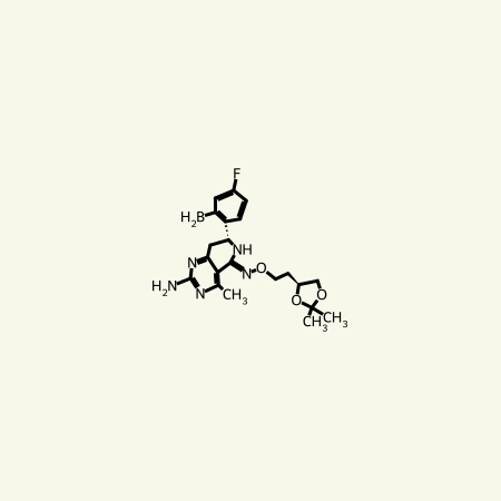 Bc1cc(F)ccc1[C@H]1Cc2nc(N)nc(C)c2/C(=N/OCC[C@H]2COC(C)(C)O2)N1